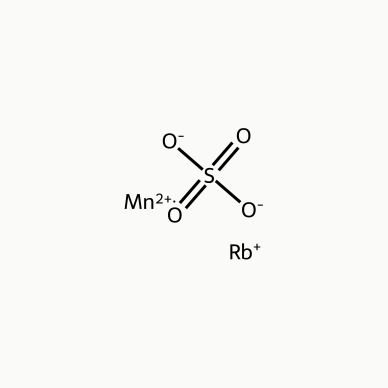 O=S(=O)([O-])[O-].[Mn+2].[Rb+]